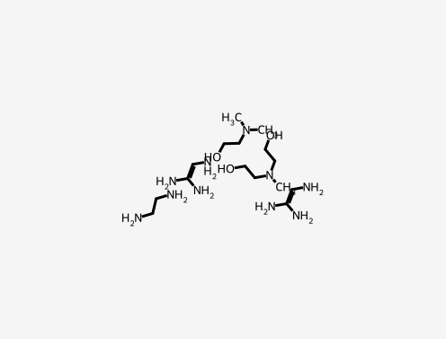 CN(C)CCO.CN(CCO)CCO.NC=C(N)N.NC=C(N)N.NCCN